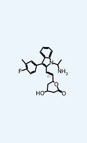 Cc1cc(-c2c(/C=C/C3CC(O)CC(=O)O3)n(C(C)N)c3ccccc23)ccc1F